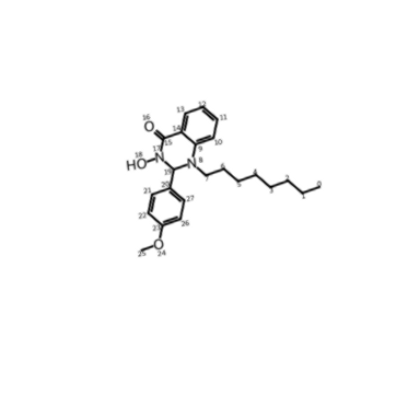 CCCCCCCCN1c2ccccc2C(=O)N(O)C1c1ccc(OC)cc1